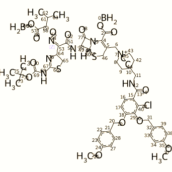 BOC(=O)C1=C(C[N+]23CCC(CNC(=O)c4ccc(OCc5ccc(OC)cc5)c(OCc5ccc(OC)cc5)c4Cl)(CC2)CC3)CS[C@@H]2[C@H](NC(=O)/C(=N\O[C@H](C(=O)OB)C(C)C)C3CSC(NC(=O)OC(C)(C)C)=N3)C(=O)N12